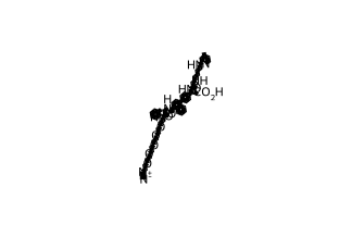 Cc1ccnc(NCCCCNCC(=O)N[C@@H](CC(=O)O)c2ccc(-c3ccc(C(=O)N[C@@H](Cc4ccccc4)C(=O)NCCOCCOCCOCCOCCOCCN=[N+]=[N-])c4ccccc34)cc2)c1